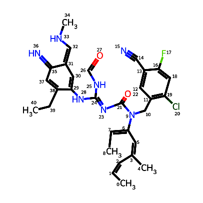 C\C=C/C(C)=C\C(=C/C)N(Cc1cc(C#N)c(F)cc1Cl)C(=O)/N=C(\NC=O)NC1=C/C(=C/NC)C(=N)C=C1CC